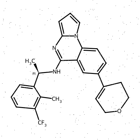 Cc1c([C@@H](C)Nc2nc3cccn3c3ccc(C4=CCOCC4)cc23)cccc1C(F)(F)F